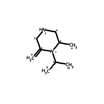 C=C1CNCC(C)N1C(C)C